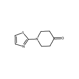 O=C1CCN(c2nccs2)CC1